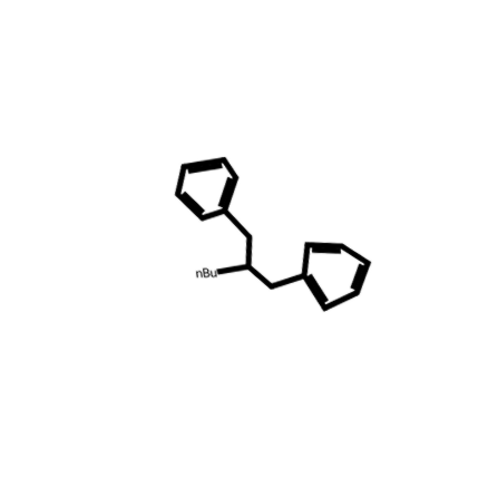 CCCCC(Cc1ccccc1)Cc1ccccc1